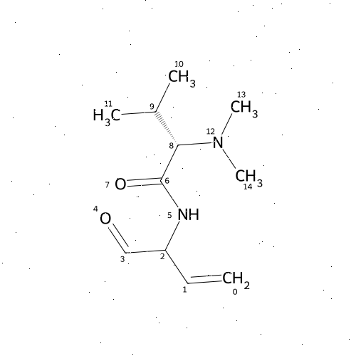 C=CC(C=O)NC(=O)[C@H](C(C)C)N(C)C